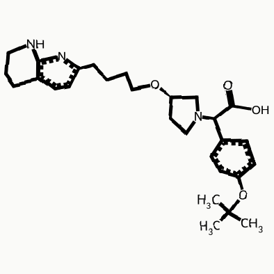 CC(C)(C)Oc1ccc(C(C(=O)O)N2CC[C@@H](OCCCCc3ccc4c(n3)NCCC4)C2)cc1